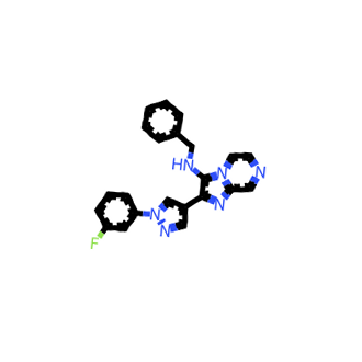 Fc1cccc(-n2cc(-c3nc4cnccn4c3NCc3ccccc3)cn2)c1